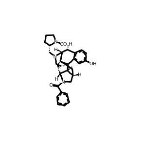 O=C(O)N1CCC[C@H]1CN1CC[C@@]23c4cc(O)ccc4C[C@@H]1[C@]21CC[C@@H]2[C@H]3[C@@H](CN2C(=O)c2ccccc2)C1